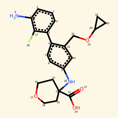 Nc1cccc(-c2ccc(NC3(C(=O)O)CCOCC3)cc2COC2CC2)c1F